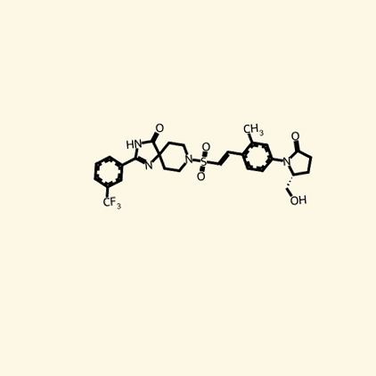 Cc1cc(N2C(=O)CC[C@@H]2CO)ccc1/C=C/S(=O)(=O)N1CCC2(CC1)N=C(c1cccc(C(F)(F)F)c1)NC2=O